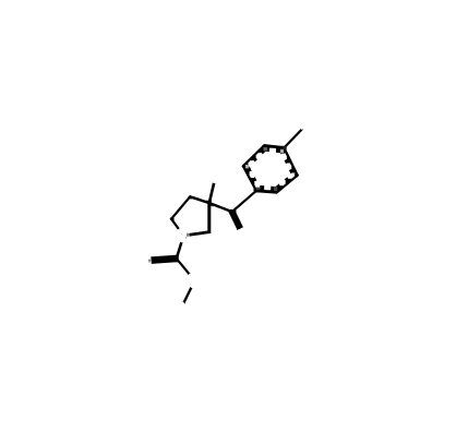 CC(C)(C)OC(=O)N1CCC(F)(C(=O)c2ccc(Br)cc2)C1